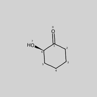 O=C1CCCC[C@H]1O